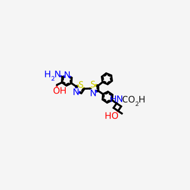 CC1(O)CC(NC(=O)O)(c2ccc(-c3nc(-c4cnc(-c5cnc(N)c(CO)c5)s4)sc3-c3ccccc3)cc2)C1